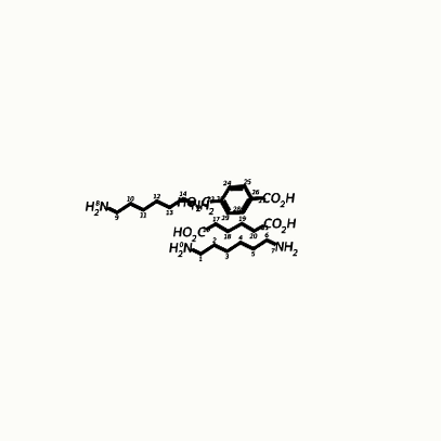 NCCCCCCN.NCCCCCCN.O=C(O)CCCCC(=O)O.O=C(O)c1ccc(C(=O)O)cc1